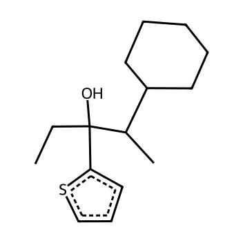 CCC(O)(c1cccs1)C(C)C1CCCCC1